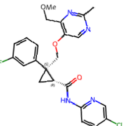 COCc1nc(C)ncc1OC[C@@]1(c2cccc(F)c2)C[C@H]1C(=O)Nc1ccc(Cl)cn1